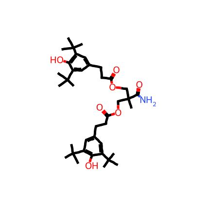 CC(COC(=O)CCc1cc(C(C)(C)C)c(O)c(C(C)(C)C)c1)(COC(=O)CCc1cc(C(C)(C)C)c(O)c(C(C)(C)C)c1)C(N)=O